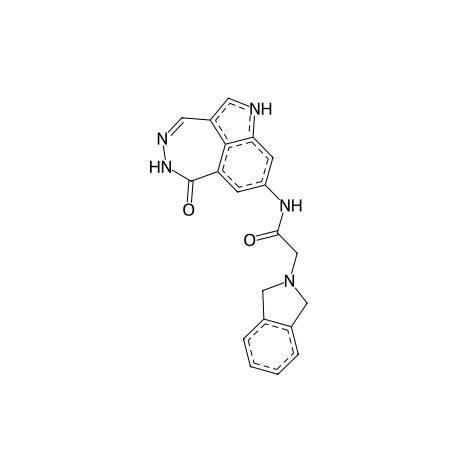 O=C(CN1Cc2ccccc2C1)Nc1cc2c3c(c[nH]c3c1)C=NNC2=O